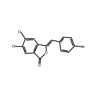 O=C1O/C(=C\c2ccc(Br)cc2)c2cc(Cl)c(Cl)cc21